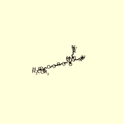 CC(C)(C)OC(=O)CCOCCOCCOCCOCCNC(=O)[C@H](CCCCN=[N+]=[N-])NC(=O)CCCN=[N+]=[N-]